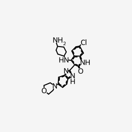 NC1CCC(Nc2c(-c3nc4cc(N5CCOCC5)ccc4[nH]3)c(=O)[nH]c3cc(Cl)ccc23)CC1